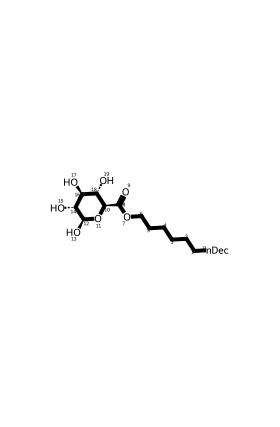 CCCCCCCCCCCCCCCCOC(=O)[C@H]1O[C@@H](O)[C@H](O)[C@@H](O)[C@@H]1O